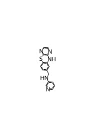 c1cncc(NCc2ccc3c(c2)Nc2nccnc2S3)c1